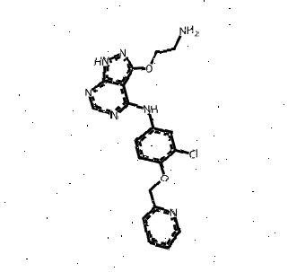 NCCOc1n[nH]c2ncnc(Nc3ccc(OCc4ccccn4)c(Cl)c3)c12